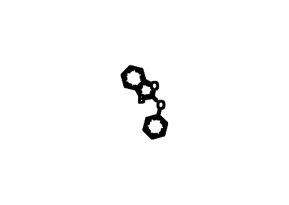 b1c(Oc2ccccc2)oc2ccccc12